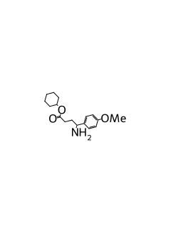 COc1ccc(C(N)CCC(=O)OC2CCCCC2)cc1